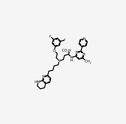 Cc1cc(NC(CCN(CCCCc2ccc3c(n2)NCCC3)CCOc2cc(F)cc(F)c2)C(=O)O)nc(-c2ccncc2)n1